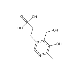 Cc1ncc(CCP(=O)(O)O)c(CO)c1O